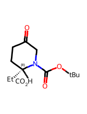 CC[C@]1(C(=O)O)CCC(=O)CN1C(=O)OC(C)(C)C